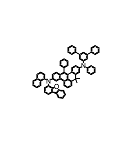 CC1(C)c2cc(N(c3ccccc3)c3cc(-c4ccccc4)cc(-c4ccccc4)c3)ccc2-c2c(-c3ccccc3)c3ccc(N(c4cccc5ccccc45)c4cccc5c4oc4ccccc45)cc3c3cccc1c23